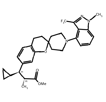 COC(=O)[C@H](C)[C@H](c1ccc2c(c1)OC1(CC2)CCN(c2cccc3c2c(C(F)(F)F)nn3C)CC1)C1CC1